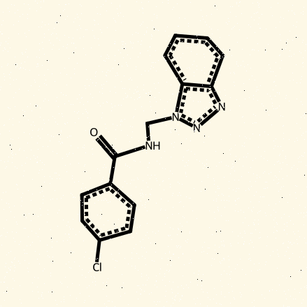 O=C(NCn1nnc2ccccc21)c1ccc(Cl)cc1